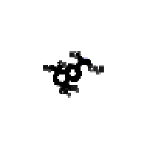 C/C(=C/C(=O)O)c1ccc2c(c1)C(C)(C)CCC2(C)C